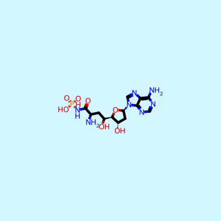 Nc1ncnc2c1ncn2[C@H]1C[C@H](O)[C@@H](C(O)CC(N)C(=O)NP(=O)(O)O)O1